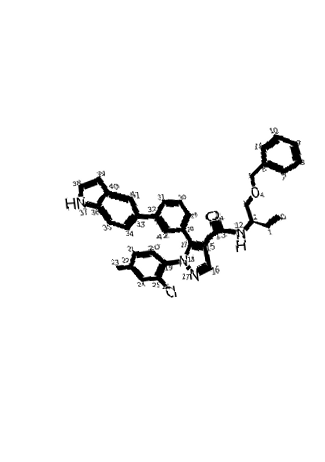 CC[C@H](COCc1ccccc1)NC(=O)c1cnn(-c2ccc(C)cc2Cl)c1-c1cccc(-c2ccc3[nH]ccc3c2)c1